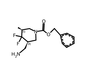 C[C@H]1CN(C(=O)OCc2ccccc2)C[C@@H](CN)C1(F)F